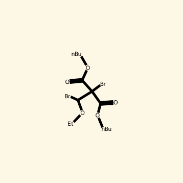 CCCCOC(=O)C(Br)(C(=O)OCCCC)C(Br)OCC